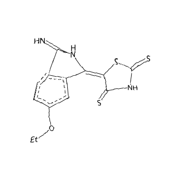 CCOc1ccc2c(c1)C(=C1SC(=S)NC1=S)NC2=N